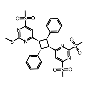 CSc1nc(S(C)(=O)=O)cc([C@H]2[C@@H](c3ccccc3)[C@@H](c3cc(S(C)(=O)=O)nc(S(C)(=O)=O)n3)[C@@H]2c2ccccc2)n1